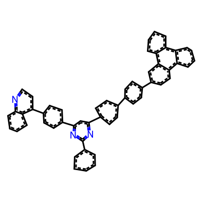 c1ccc(-c2nc(-c3ccc(-c4ccc(-c5ccc6c7ccccc7c7ccccc7c6c5)cc4)cc3)cc(-c3ccc(-c4ccnc5ccccc45)cc3)n2)cc1